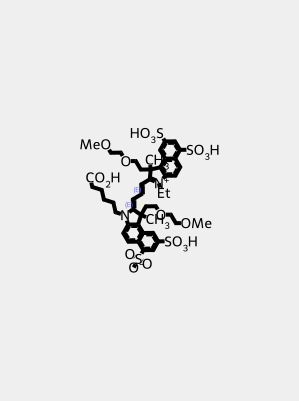 CC[N+]1=C(/C=C/C=C2/N(CCCCCC(=O)O)c3ccc4c(S(=O)(=O)[O-])cc(S(=O)(=O)O)cc4c3C2(C)CCOCCOC)C(C)(CCOCCOC)c2c1ccc1c(S(=O)(=O)O)cc(S(=O)(=O)O)cc21